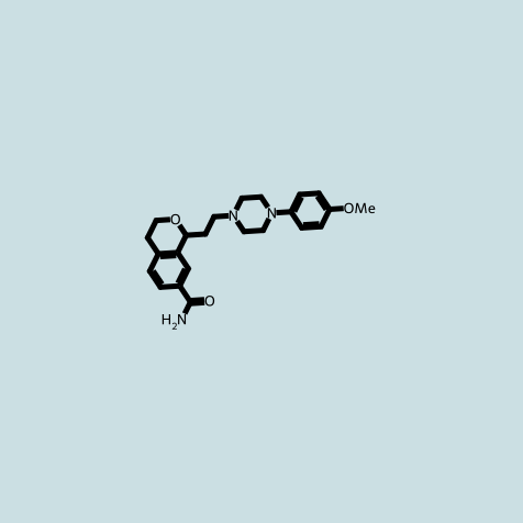 COc1ccc(N2CCN(CCC3OCCc4ccc(C(N)=O)cc43)CC2)cc1